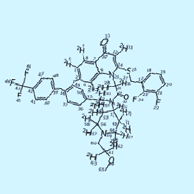 [2H]c1c(C)c([2H])c2c(c1[2H])c(=O)c([2H])c(SCc1cccc(F)c1F)n2C([2H])([2H])C(=O)N(C([2H])([2H])c1ccc(-c2ccc(C(F)(F)F)cc2)cc1)C1([2H])C([2H])([2H])C([2H])([2H])N(CC([2H])([2H])OC)C([2H])([2H])C1([2H])[2H]